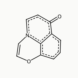 O=c1ccn2c3c(cccc13)OC=C2